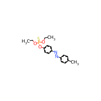 CCOP(=S)(OCC)Oc1ccc(N=Nc2ccc(C)cc2)cc1